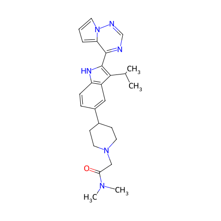 CC(C)c1c(-c2ncnn3cccc23)[nH]c2ccc(C3CCN(CC(=O)N(C)C)CC3)cc12